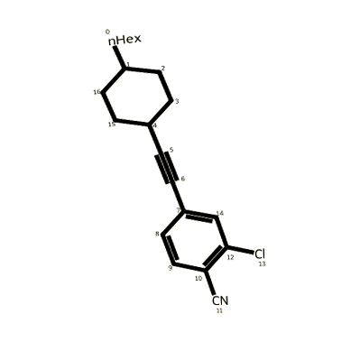 CCCCCCC1CCC(C#Cc2ccc(C#N)c(Cl)c2)CC1